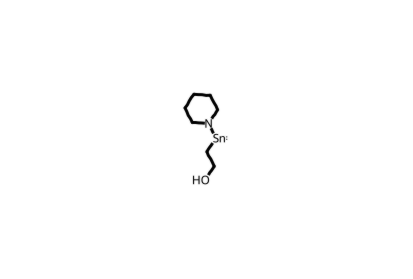 OC[CH2][Sn][N]1CCCCC1